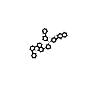 c1cc(-c2ccc3c4c2cccc4c2cccc4c5ccccc5n3c24)cc(N(c2ccc3c(c2)oc2cc4ccccc4cc23)c2ccc3sc4ccccc4c3c2)c1